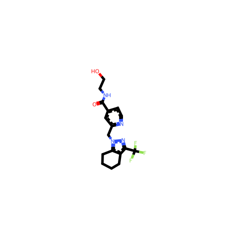 O=C(NCCO)c1ccnc(Cn2nc(C(F)(F)F)c3c2CCCC3)c1